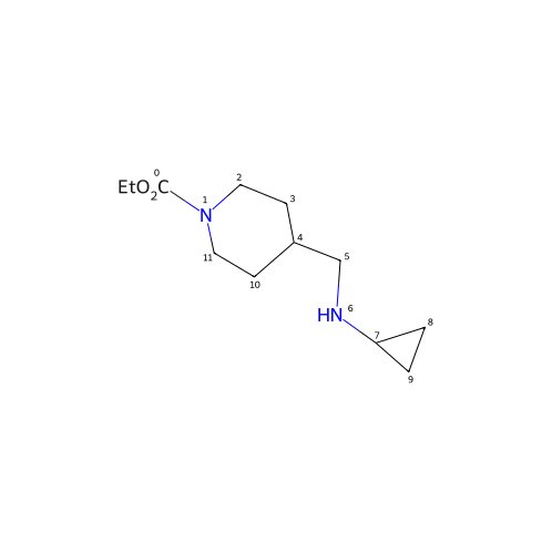 CCOC(=O)N1CCC(CNC2CC2)CC1